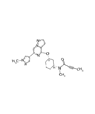 CC#CC(=O)N(C)[C@@H]1CCC[C@H](Oc2nc(-c3cnn(C)c3)cn3nccc23)C1